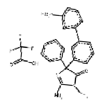 CN1C(=O)C(c2ccccc2)(c2cccc(-c3cccc(C(=O)O)c3)c2)N=C1N.O=C(O)C(F)(F)F